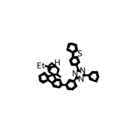 CCC1C[C@@H]2C=C1C1(c3ccccc3-c3ccc(-c4cccc(-c5nc(-c6ccccc6)nc(-c6ccc7c(c6)sc6ccccc67)n5)c4)cc31)C(C)C2